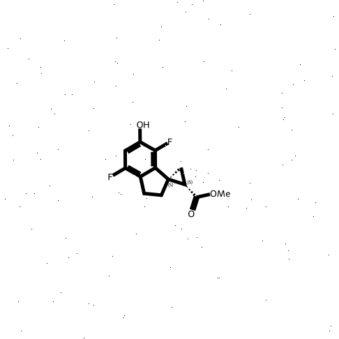 COC(=O)[C@H]1C[C@@]12CCc1c(F)cc(O)c(F)c12